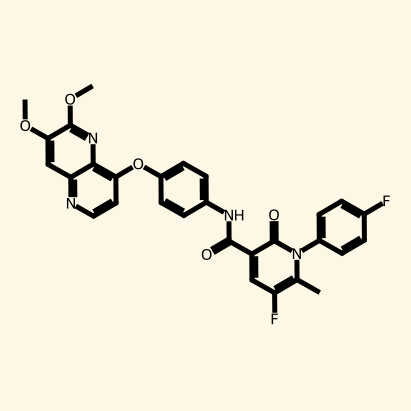 COc1cc2nccc(Oc3ccc(NC(=O)c4cc(F)c(C)n(-c5ccc(F)cc5)c4=O)cc3)c2nc1OC